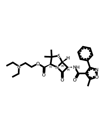 CCN(CC)CCOC(=O)[C@@H]1N2C(=O)[C@@H](NC(=O)c3c(-c4ccccc4)noc3C)[C@H]2SC1(C)C